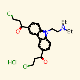 CCN(CC)CCn1c2ccc(C(=O)CCCl)cc2c2cc(C(=O)CCCl)ccc21.Cl